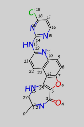 CC1=NC(=O)c2oc3ccc4nc(Nc5nccc(Cl)n5)ccc4c3c2NC1